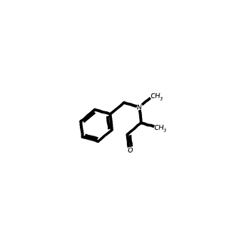 CC(C=O)N(C)Cc1ccccc1